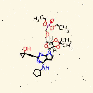 CCOP(=O)(COC[C@H]1O[C@@H](n2ccc3c(NC4CCCC4)nc(C#CC4(O)CC4)nc32)[C@@H]2OC(C)(C)O[C@@H]21)OCC